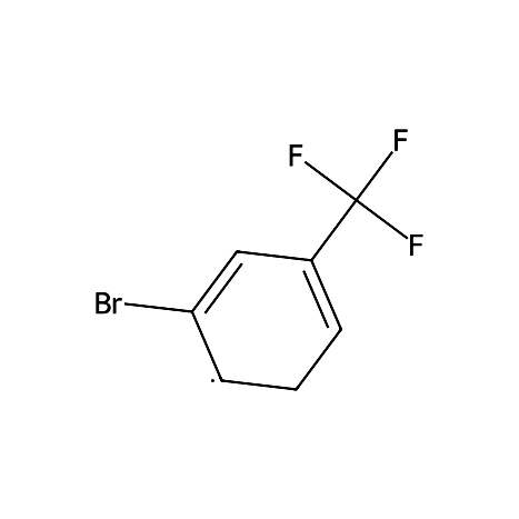 FC(F)(F)C1=CC[CH]C(Br)=C1